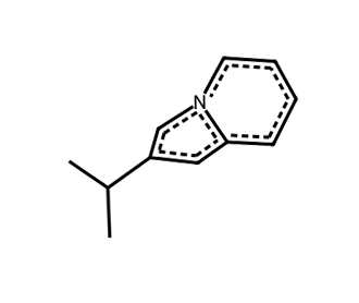 CC(C)c1cc2ccccn2c1